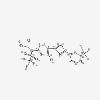 COC(=O)N(c1ccc(-c2csc(-c3ccnc(C(C)(C)C)c3)n2)c(Cl)c1)S(=O)(=O)C(F)(F)F